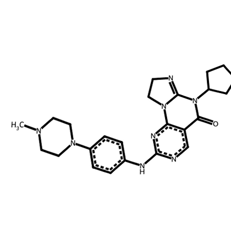 CN1CCN(c2ccc(Nc3ncc4c(n3)N3CCN=C3N(C3CCCC3)C4=O)cc2)CC1